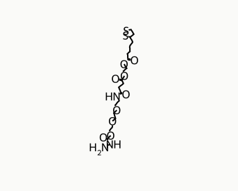 NNC(=O)OCCOCCOCCNC(=O)CCC(=O)OCCOC(=O)CCCCC1CCSS1